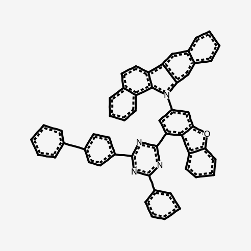 c1ccc(-c2ccc(-c3nc(-c4ccccc4)nc(-c4cc(-n5c6cc7ccccc7cc6c6ccc7ccccc7c65)cc5oc6ccccc6c45)n3)cc2)cc1